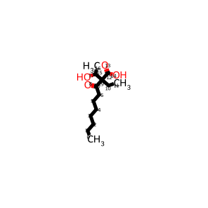 CCCCCCCC(=O)C(CC)(C(=O)O)C(C)O